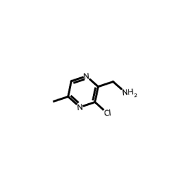 Cc1cnc(CN)c(Cl)n1